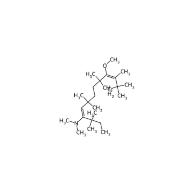 CCC(C)(C)/C(=C\C(C)(C)CCC(C)(C)/C(OC)=C(/C)C(C)(C)C)N(C)C